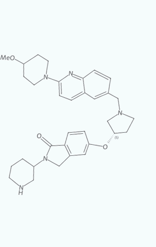 COC1CCN(c2ccc3cc(CN4CC[C@H](Oc5ccc6c(c5)CN(C5CCCNC5)C6=O)C4)ccc3n2)CC1